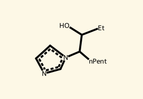 CCCCCC(C(O)CC)n1ccnc1